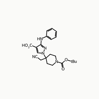 CC(C)(C)OC(=O)N1CCC(CC#N)(n2cc(C(=O)O)c(Nc3ccccc3)n2)CC1